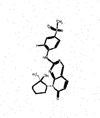 C[C@@]1(O)CCC[C@H]1n1c(=O)ccc2cnc(Nc3ccc(S(C)(=O)=O)cc3F)nc21